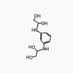 OCC(O)Nc1cccc(NC(O)CO)c1